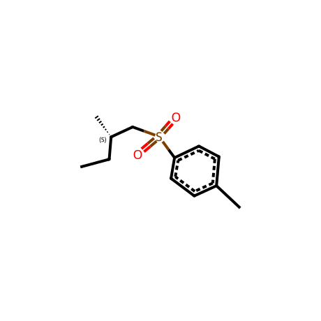 CC[C@H](C)CS(=O)(=O)c1ccc(C)cc1